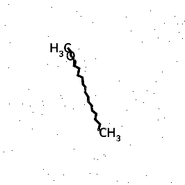 CCCCCCCCCCCCCCCC=COCC